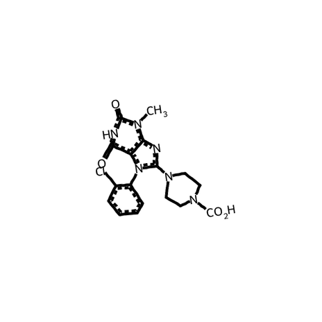 Cn1c(=O)[nH]c(=O)c2c1nc(N1CCN(C(=O)O)CC1)n2-c1ccccc1Cl